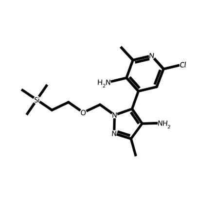 Cc1nc(Cl)cc(-c2c(N)c(C)nn2COCC[Si](C)(C)C)c1N